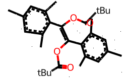 Cc1cc(C)c(C(OC(=O)C(C)(C)C)=C(OC(=O)C(C)(C)C)c2c(C)cc(C)cc2C)c(C)c1